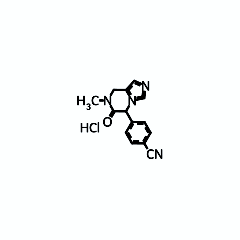 CN1Cc2cncn2C(c2ccc(C#N)cc2)C1=O.Cl